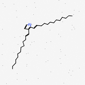 CCCCCCCCCCCC=CC1=C(C=CCCCCCCCCCCC)[N]C=C1